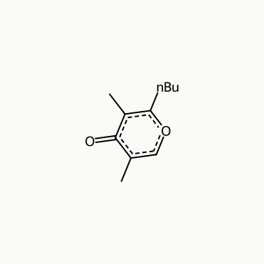 CCCCc1occ(C)c(=O)c1C